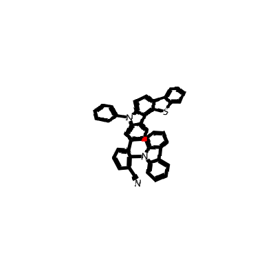 N#Cc1cccc(-c2ccc3c4c5sc6ccccc6c5ccc4n(-c4ccccc4)c3c2)c1-n1c2ccccc2c2ccccc21